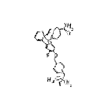 CC(C)(F)CN1CCC(COc2ccc(C3=CC=CCC3(F)C(=O)N3CCC(C(N)=O)CC3)cc2F)CC1